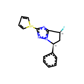 F[C@H]1C[C@@H](c2ccccc2)n2nc([SH]3C=CC=C3)nc21